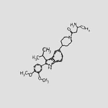 COc1ccc(-c2[nH]c3ccc(C4CCN(C(=O)CC(C)N)CC4)cc3c2C(C)C)cc1OC